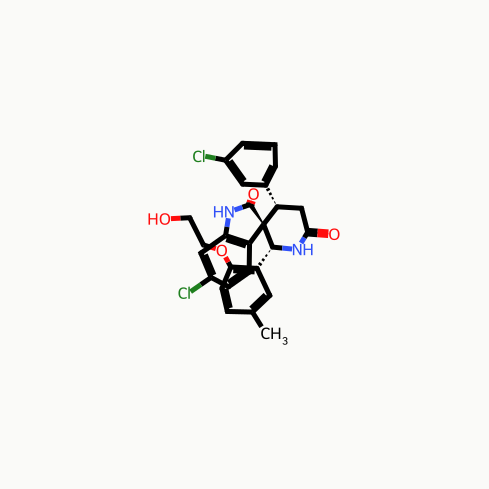 Cc1ccc(OCCO)c([C@H]2NC(=O)C[C@@H](c3cccc(Cl)c3)[C@]23C(=O)Nc2cc(Cl)ccc23)c1